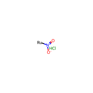 Cl.O=[N+]([O-])[Ru]